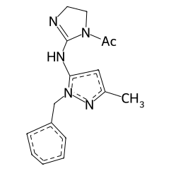 CC(=O)N1CCN=C1Nc1cc(C)nn1Cc1ccccc1